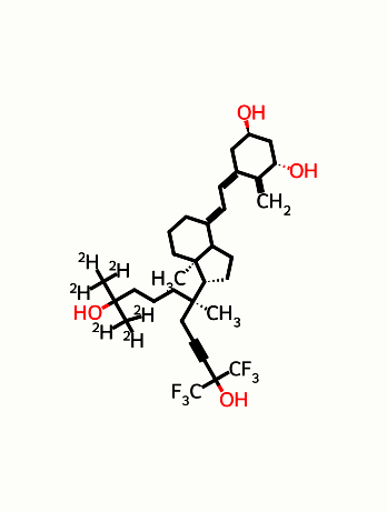 [2H]C([2H])([2H])C(O)(CCC[C@](C)(CC#CC(O)(C(F)(F)F)C(F)(F)F)[C@H]1CCC2/C(=C/C=C3/C[C@@H](O)C[C@H](O)C3=C)CCC[C@@]21C)C([2H])([2H])[2H]